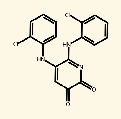 O=C1C=C(Nc2ccccc2Cl)C(Nc2ccccc2Cl)=NC1=O